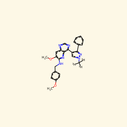 [2H]C([2H])([2H])n1cc(-c2ncnc3cc(OC)c(NCc4ccc(OC)cc4)nc23)c(-c2ccccc2)n1